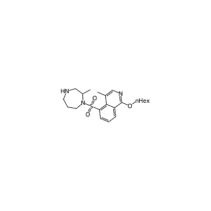 CCCCCCOc1ncc(C)c2c(S(=O)(=O)N3CCCNCC3C)cccc12